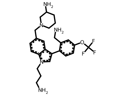 NCCCn1cc(-c2ccc(OC(F)(F)F)cc2CN)c2cc(CN3CCCC(N)C3)ccc21